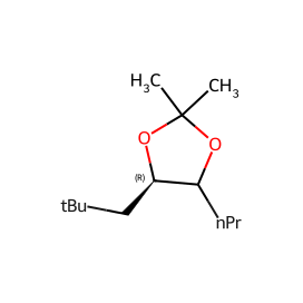 CCCC1OC(C)(C)O[C@@H]1CC(C)(C)C